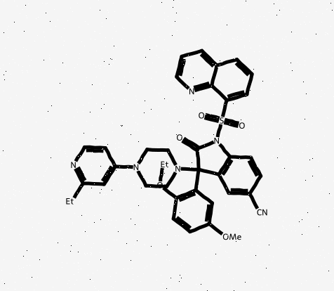 CCOc1ccc(OC)cc1C1(N2CCN(c3ccnc(CC)c3)CC2)C(=O)N(S(=O)(=O)c2cccc3cccnc23)c2ccc(C#N)cc21